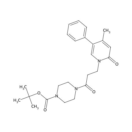 Cc1cc(=O)n(CCC(=O)N2CCN(C(=O)OC(C)(C)C)CC2)cc1-c1ccccc1